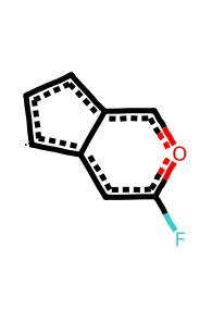 Fc1cc2[c]ccc-2co1